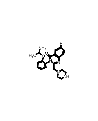 CC(C)Oc1ccccc1-n1c(CN2CCNCC2)nc2ccc(F)cc2c1=O